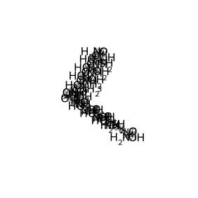 CC(N)C(=O)O.NC(CO)C(=O)O.NC(CO)C(=O)O.NC(CO)C(=O)O.NC(CO)C(=O)O.NC(CS)C(=O)O.NC(CS)C(=O)O.NC(Cc1c[nH]cn1)C(=O)O.NCC(=O)O.NCCCCC(N)C(=O)O.O=C(O)[C@@H]1CCCN1